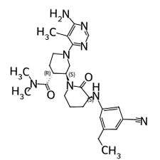 CCc1cc(C#N)cc(N[C@H]2CCCN([C@@H]3CN(c4ncnc(N)c4C)CC[C@H]3C(=O)N(C)C)C2=O)c1